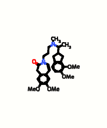 COc1cc2c(cc1OC)CC(=O)N(CCCN(C)C(C)C1Cc3ccc(OC)c(OC)c3C1)C=C2